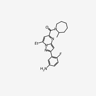 CCc1cc(C(=O)N2CCCCCC2C)nc2cc(-c3cc(N)ccc3F)nn12